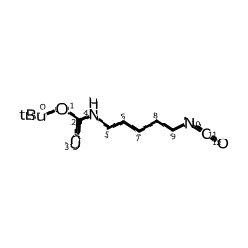 CC(C)(C)OC(=O)NCCCCCN=C=O